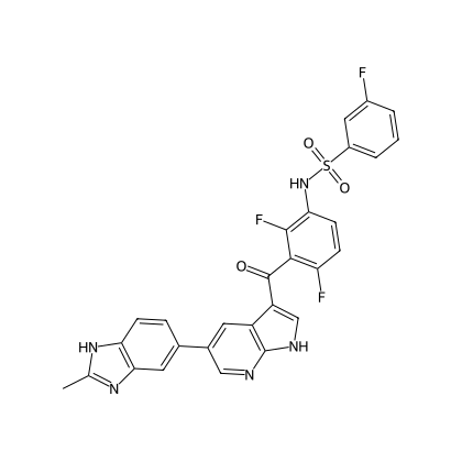 Cc1nc2cc(-c3cnc4[nH]cc(C(=O)c5c(F)ccc(NS(=O)(=O)c6cccc(F)c6)c5F)c4c3)ccc2[nH]1